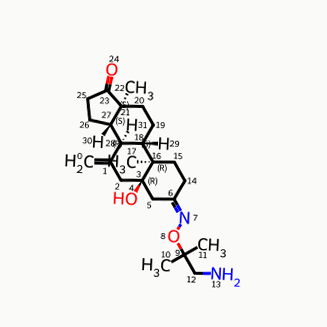 C=C1C[C@@]2(O)CC(=NOC(C)(C)CN)CC[C@]2(C)[C@H]2CC[C@]3(C)C(=O)CC[C@H]3[C@H]12